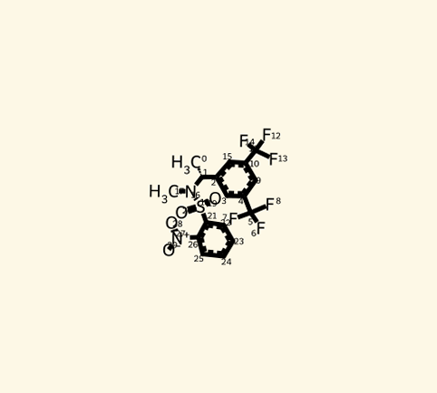 C[C@H](c1cc(C(F)(F)F)cc(C(F)(F)F)c1)N(C)S(=O)(=O)c1ccccc1[N+](=O)[O-]